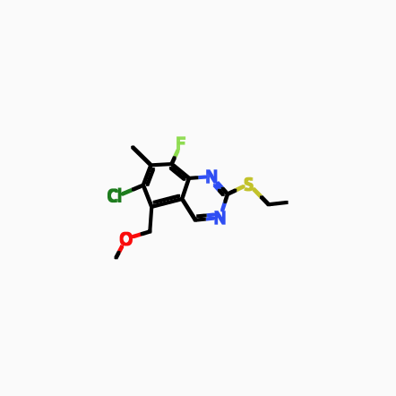 CCSc1ncc2c(COC)c(Cl)c(C)c(F)c2n1